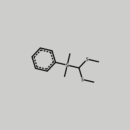 CSC(SC)[Si](C)(C)c1ccccc1